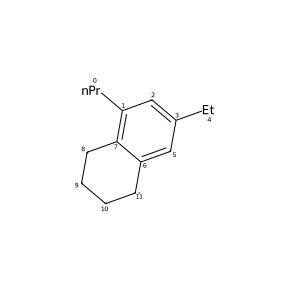 CCCc1cc(CC)cc2c1CCC[CH]2